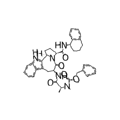 C[C@@H](C(=O)N[C@H]1Cc2c([nH]c3ccccc23)[C@H]2CC[C@@H](C(=O)N[C@@H]3CCCc4ccccc43)N2C1=O)N(C)C(=O)OCc1ccccc1